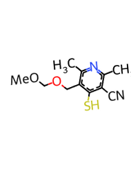 COCOCc1c(C)nc(C)c(C#N)c1S